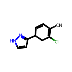 N#CC1=C(Cl)CC(c2cc[nH]n2)C=C1